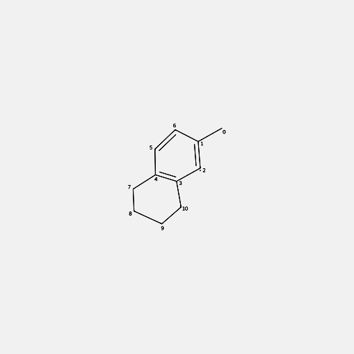 Cc1[c]c2c(cc1)CCCC2